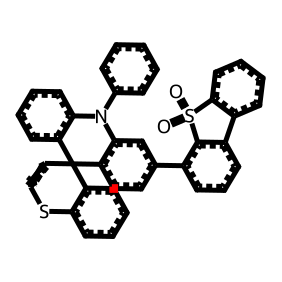 O=S1(=O)c2ccccc2-c2cccc(-c3ccc4c(c3)N(c3ccccc3)c3ccccc3C43c4ccccc4Sc4ccccc43)c21